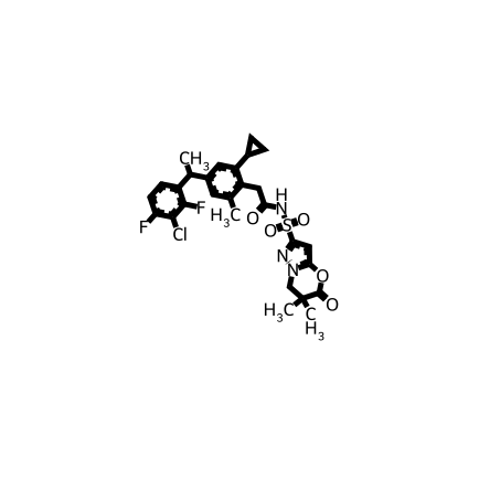 Cc1cc(C(C)c2ccc(F)c(Cl)c2F)cc(C2CC2)c1CC(=O)NS(=O)(=O)c1cc2n(n1)CC(C)(C)C(=O)O2